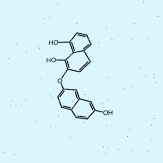 Oc1ccc2ccc(Oc3ccc4cccc(O)c4c3O)cc2c1